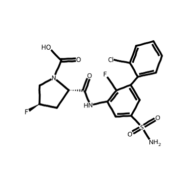 NS(=O)(=O)c1cc(NC(=O)[C@@H]2C[C@@H](F)CN2C(=O)O)c(F)c(-c2ccccc2Cl)c1